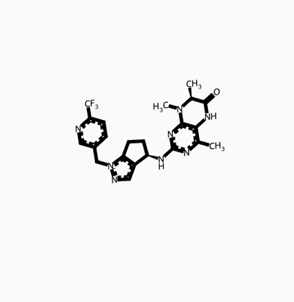 Cc1nc(N[C@@H]2CCc3c2cnn3Cc2ccc(C(F)(F)F)nc2)nc2c1NC(=O)[C@H](C)N2C